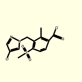 Cc1c(C(=O)Cl)ccc(S(C)(=O)=O)c1Cn1cc(Cl)cn1